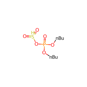 CCCCOP(=O)(OCCCC)O[SH](=O)=O